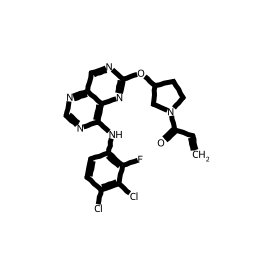 C=CC(=O)N1CCC(Oc2ncc3ncnc(Nc4ccc(Cl)c(Cl)c4F)c3n2)C1